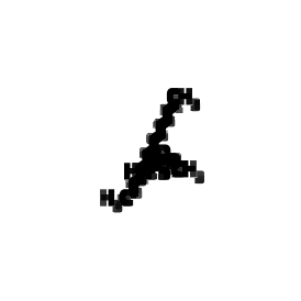 CCCCCCCC(CCCCCCC)OP(=S)(OC)OC